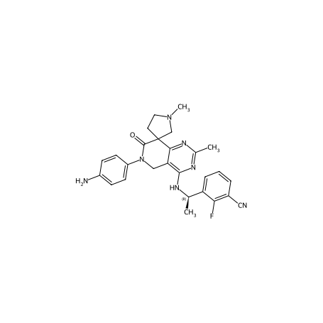 Cc1nc(N[C@H](C)c2cccc(C#N)c2F)c2c(n1)C1(CCN(C)C1)C(=O)N(c1ccc(N)cc1)C2